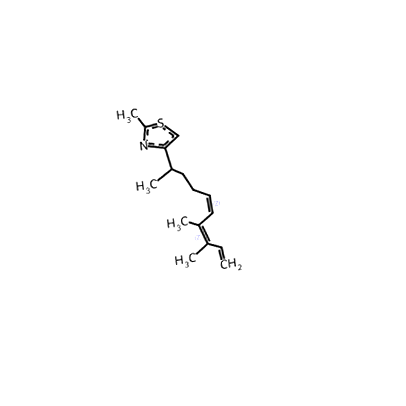 C=C/C(C)=C(C)\C=C/CCC(C)c1csc(C)n1